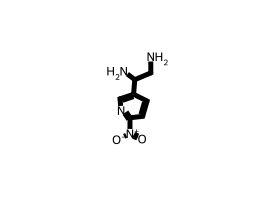 NCC(N)c1ccc([N+](=O)[O-])nc1